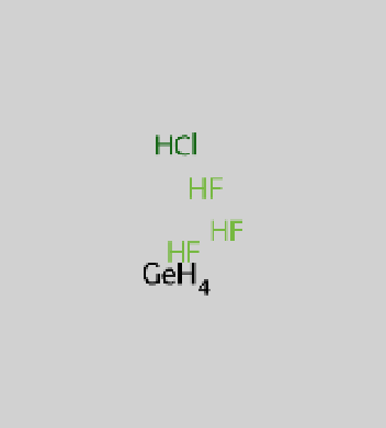 Cl.F.F.F.[GeH4]